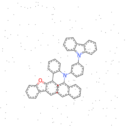 c1cc(N(c2ccccc2-c2cccc3c2oc2ccccc23)c2cccc3ccccc23)cc(-n2c3ccccc3c3ccccc32)c1